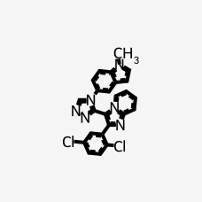 Cn1ccc2cc(-n3cnnc3-c3c(-c4cc(Cl)ccc4Cl)nc4ccccn34)ccc21